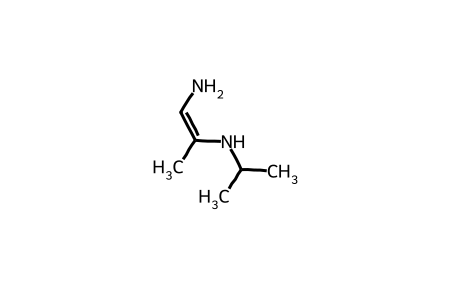 C/C(=C/N)NC(C)C